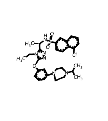 CCn1c(Oc2cccc(N3CCN(C(C)C)CC3)c2)nnc1[C@@H](C)NS(=O)(=O)c1ccc2c(Cl)cccc2c1